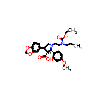 CCCN(CCN1CC(c2ccc3c(c2)OCO3)[C@H](C(=O)O)[C@H]1c1ccc(OC)cc1)C(=O)OCC